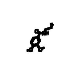 COc1ccc(C(=O)NCC[S])cc1OC